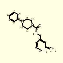 C=C/C=C(\C=C/N)COC(=O)N1CCN(c2ccccc2)CC1